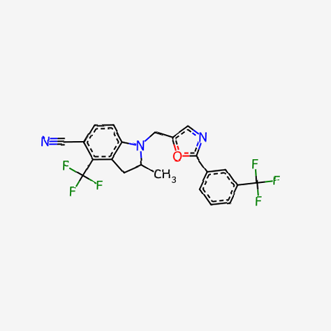 CC1Cc2c(ccc(C#N)c2C(F)(F)F)N1Cc1cnc(-c2cccc(C(F)(F)F)c2)o1